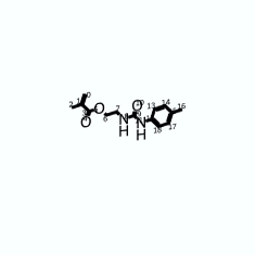 C=C(C)C(=O)OCCNC(=O)Nc1ccc(C)cc1